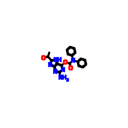 CC(=O)c1nc2nc(N)nc(OC(=O)N(c3ccccc3)c3ccccc3)c2[nH]1